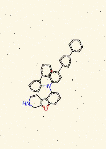 C1=Cc2c(oc3cccc(N(c4ccc(-c5ccc(-c6ccccc6)cc5)cc4)c4ccccc4-c4ccccc4)c23)CN1